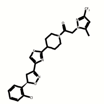 Cc1cc(C(F)(F)F)nn1CC(=O)N1CCC(c2nc(C3=NO[C@@H](c4[c]cccc4Cl)C3)cs2)CC1